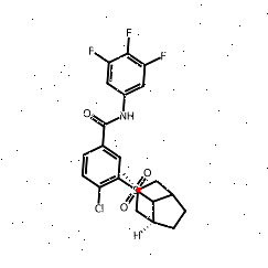 C[C@@H]1CC2CC[C@@H](C1)C2S(=O)(=O)c1cc(C(=O)Nc2cc(F)c(F)c(F)c2)ccc1Cl